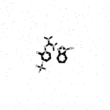 CN(C)C(On1ccccc1=O)=[N+](C)C.F[B-](F)(F)F.On1nnc2ccccc21